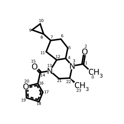 CC(=O)N1C2CCC(C3CC3)CC2N(C(=O)c2ccco2)C[C@@H]1C